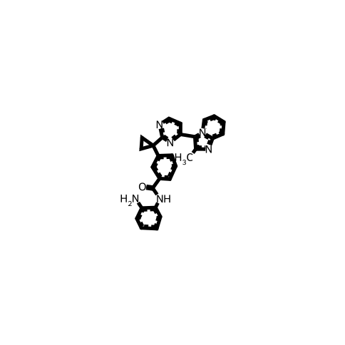 Cc1nc2ccccn2c1-c1ccnc(C2(c3cccc(C(=O)Nc4ccccc4N)c3)CC2)n1